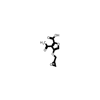 CC(=O)c1c(OCC2CO2)coc1C(=O)O